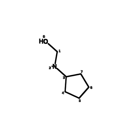 OC[N]C1CCCC1